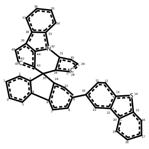 c1ccc2c(c1)-c1ccc(-c3ccc4sc5ccccc5c4c3)cc1C21c2ccccc2-n2c3ccccc3c3cccc1c32